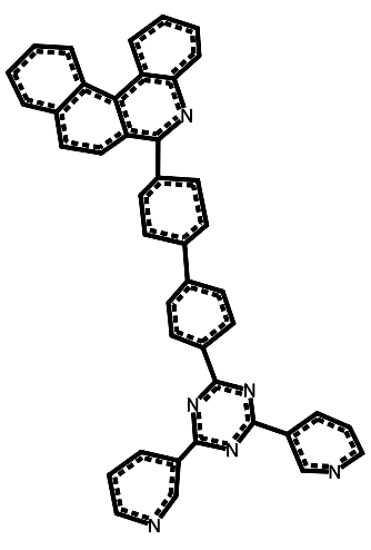 c1cncc(-c2nc(-c3ccc(-c4ccc(-c5nc6ccccc6c6c5ccc5ccccc56)cc4)cc3)nc(-c3cccnc3)n2)c1